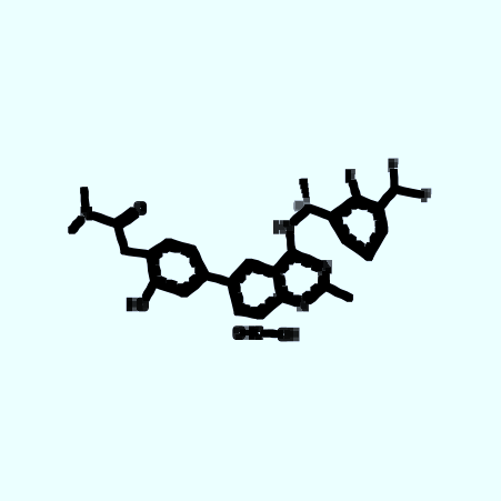 Cc1nc(N[C@H](C)c2cccc(C(F)F)c2F)c2cc(-c3ccc(CC(=O)N(C)C)c(O)c3)ccc2n1.O=CO